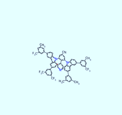 Cc1cc(C)cc(-c2ccc3c(c2)c2cc(-c4cc(C)cc(C(F)(F)F)c4)ccc2n3-c2cc(C#N)cc(-n3c4ccc(-c5cc(C)cc(C(F)(F)F)c5)cc4c4cc(-c5cc(C(F)(F)F)cc(C(F)(F)F)c5)ccc43)c2-c2ccncc2)c1